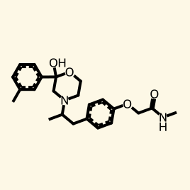 CNC(=O)COc1ccc(CC(C)N2CCOC(O)(c3cccc(C)c3)C2)cc1